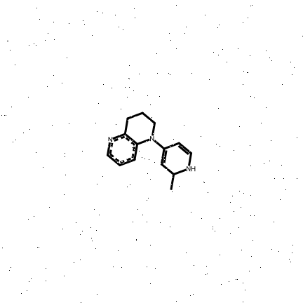 CC1C=C(N2CCCc3ncccc32)C=CN1